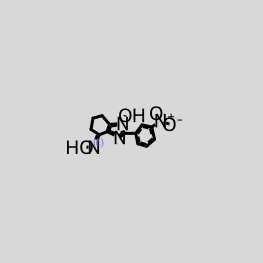 O=[N+]([O-])c1cccc(-c2nc3c(n2O)CCC/C3=N\O)c1